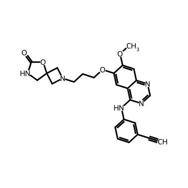 C#Cc1cccc(Nc2ncnc3cc(OC)c(OCCCN4CC5(CNC(=O)O5)C4)cc23)c1